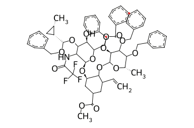 C=CC1CC(C(=O)OC)C[C@@H](O[C@@H]2OC(COC(=O)c3ccccc3)[C@H](O)C(OC(OCc3ccccc3)[C@@H]3C[C@@H]3C)C2NC(=O)C(F)(F)F)C1OC1O[C@@H](C)C(OCc2ccccc2)C(OCc2ccccc2)[C@@H]1OCc1ccccc1